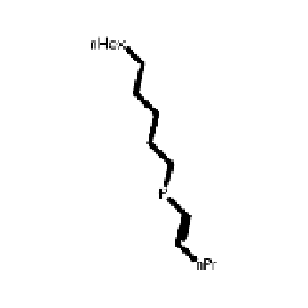 CCCC=C[P]CCCCCCCCCCC